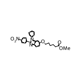 COC(=O)CCCCCOc1ccc2nc(-c3ccc([N+](=O)[O-])cc3)n(-c3ccccc3)c2c1